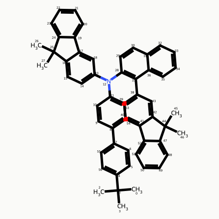 CC(C)(C)c1ccc(-c2ccc(N(c3ccc4c(c3)-c3ccccc3C4(C)C)c3ccc4ccccc4c3-c3ccc4c(c3)C(C)(C)c3ccccc3-4)cc2)cc1